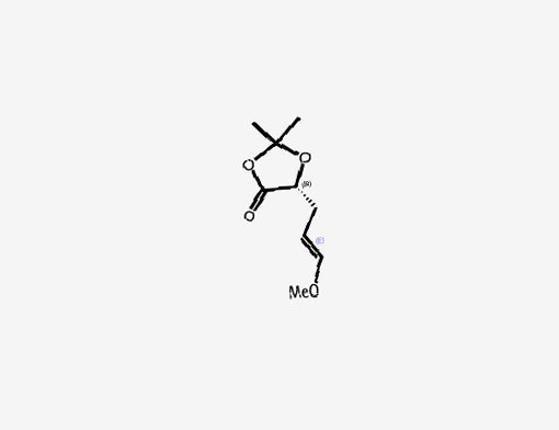 CO/C=C/C[C@H]1OC(C)(C)OC1=O